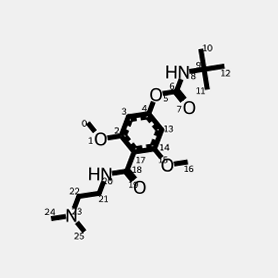 COc1cc(OC(=O)NC(C)(C)C)cc(OC)c1C(=O)NCCN(C)C